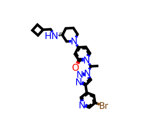 CC(n1cc(-c2cncc(Br)c2)nn1)n1ccc(N2CCC[C@@H](NCC3CCC3)C2)cc1=O